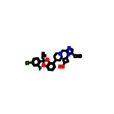 CC1(c2ccc(Cl)cc2F)Oc2cccc(C3CCN(Cc4ncc(C=O)n4C4CC(O)C4)CC3)c2O1